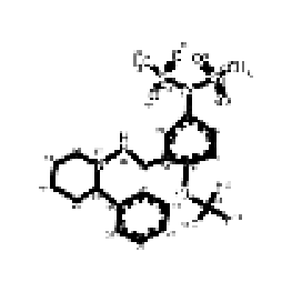 CS(=O)(=O)N(c1ccc(OC(F)(F)F)c(CNN2CCCCC2c2ccccc2)c1)S(C)(=O)=O